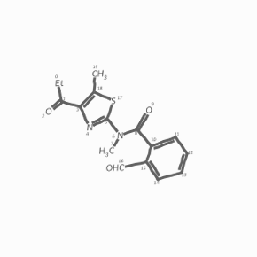 CCC(=O)c1nc(N(C)C(=O)c2ccccc2C=O)sc1C